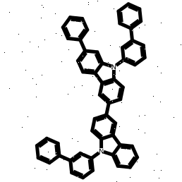 c1ccc(-c2cccc(-n3c4ccccc4c4cc(-c5ccc6c(c5)c5ccc(-c7ccccc7)cc5n6-c5cccc(-c6ccccc6)c5)ccc43)c2)cc1